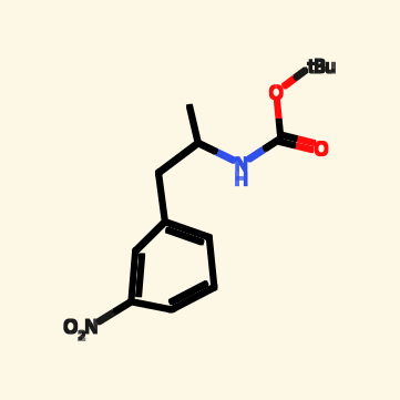 CC(Cc1cccc([N+](=O)[O-])c1)NC(=O)OC(C)(C)C